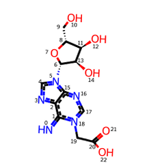 N=c1c2ncn([C@@H]3O[C@H](CO)[C@@H](O)[C@H]3O)c2ncn1CC(=O)O